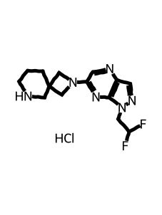 Cl.FC(F)Cn1ncc2ncc(N3CC4(CCCNC4)C3)nc21